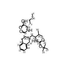 CSCC[C@H](NC(=O)[C@H]1Cc2ccccc2CN1CC(NC(=O)OC(C)(C)C)C(C)C)C(=O)O